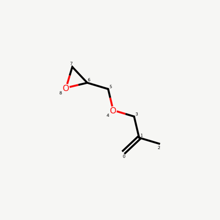 C=C(C)COCC1CO1